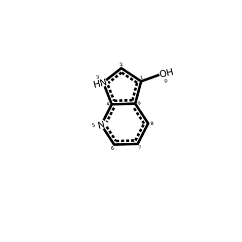 Oc1c[nH]c2ncccc12